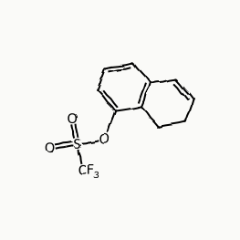 O=S(=O)(Oc1cccc2c1CCC=C2)C(F)(F)F